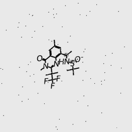 Cc1cc([C@@H](C)N[S@+]([O-])C(C)(C)C)c2nc(C(C)(C)C(F)(F)F)n(C)c(=O)c2c1